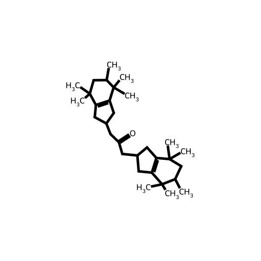 CC1CC(C)(C)C2=C(CC(CC(=O)CC3CC4=C(C3)C(C)(C)C(C)CC4(C)C)C2)C1(C)C